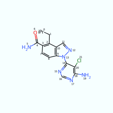 CC(C)Cc1c(C(N)=O)ccc2c1cnn2-c1ncnc(N)c1Cl